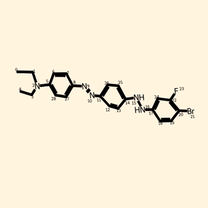 CCN(CC)c1ccc(/N=N/c2ccc(NNc3ccc(Br)c(F)c3)cc2)cc1